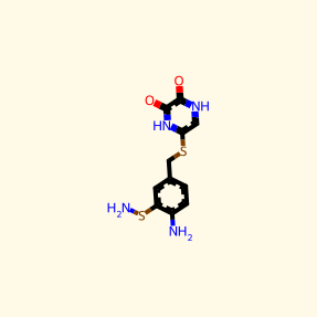 NSc1cc(CSc2c[nH]c(=O)c(=O)[nH]2)ccc1N